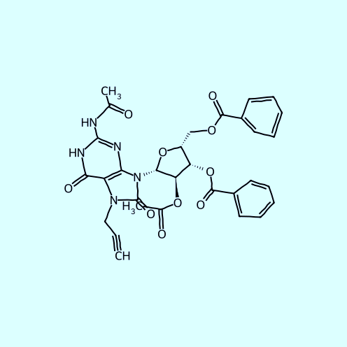 C#CCn1c(=O)n([C@@H]2O[C@H](COC(=O)c3ccccc3)[C@H](OC(=O)c3ccccc3)[C@H]2OC(C)=O)c2nc(NC(C)=O)[nH]c(=O)c21